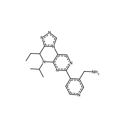 CCC1c2nncn2-c2cnc(-c3ccncc3CN)nc2N1C(C)C